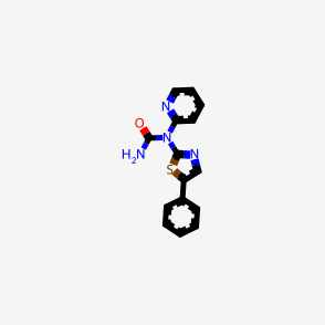 NC(=O)N(c1ccccn1)c1ncc(-c2ccccc2)s1